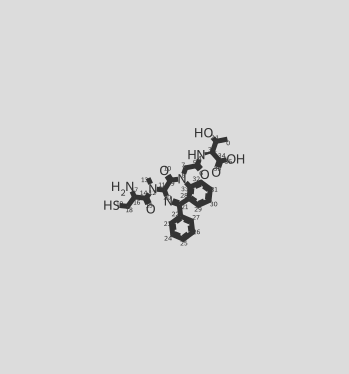 CC(O)[C@H](NC(=O)CN1C(=O)C(N(C)C(=O)C(N)CS)N=C(c2ccccc2)c2ccccc21)C(=O)O